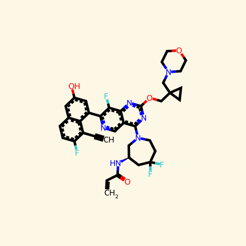 C#Cc1c(F)ccc2cc(O)cc(-c3ncc4c(N5CCC(F)(F)C[C@@H](NC(=O)C=C)C5)nc(OCC5(CN6CCOCC6)CC5)nc4c3F)c12